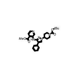 COC(=O)c1ccncc1Nc1nn(C2CCN(C(=O)OC(C)(C)C)CC2)cc1-c1ccccc1